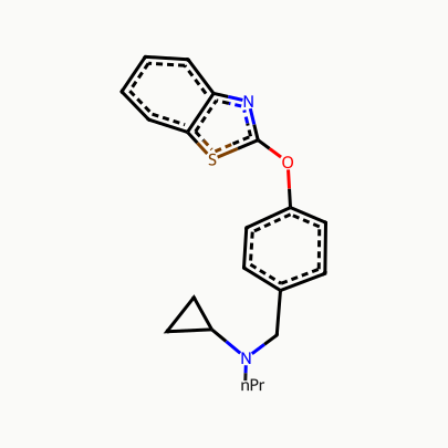 [CH2]CCN(Cc1ccc(Oc2nc3ccccc3s2)cc1)C1CC1